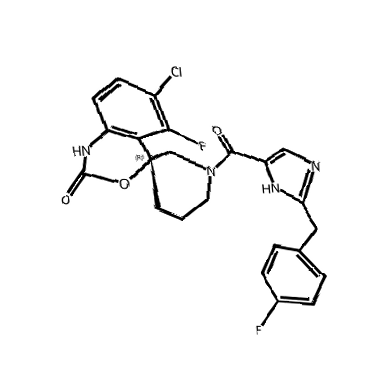 O=C1Nc2ccc(Cl)c(F)c2[C@@]2(CCCN(C(=O)c3cnc(Cc4ccc(F)cc4)[nH]3)C2)O1